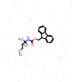 CCOCCC(C)(C)NC(=O)OCC1c2ccccc2-c2ccccc21